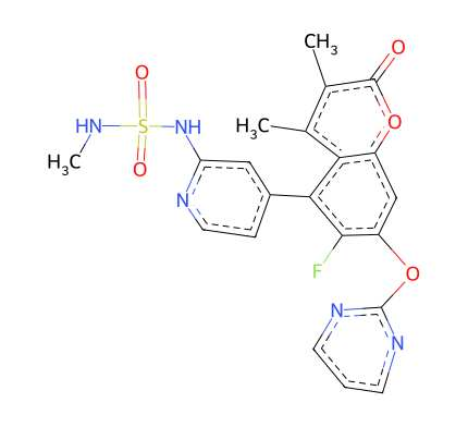 CNS(=O)(=O)Nc1cc(-c2c(F)c(Oc3ncccn3)cc3oc(=O)c(C)c(C)c23)ccn1